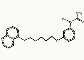 NC(=O)N(S)c1cccc(OCCCCCCc2cccc3ccccc23)c1